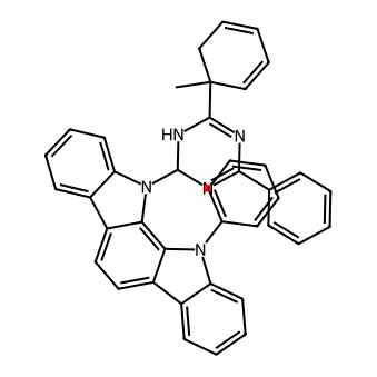 CC1(C2=NC(c3ccccc3)=NC(n3c4ccccc4c4ccc5c6ccccc6n(-c6ccccc6)c5c43)N2)C=CC=CC1